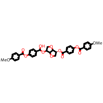 COc1ccc(C(=O)Oc2ccc(C(=O)O[C@@H]3COC4C(OC(O)c5ccc(OC(=O)c6ccc(OC)cc6)cc5)COC43)cc2)cc1